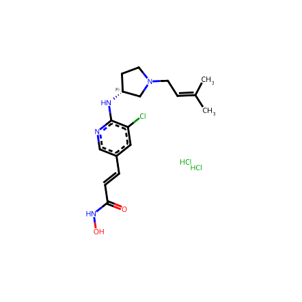 CC(C)=CCN1CC[C@@H](Nc2ncc(C=CC(=O)NO)cc2Cl)C1.Cl.Cl